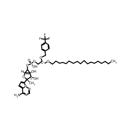 CCCCCCCCCCCCCCCCCCOC[C@H](COP(=O)(O)OC1[C@H]2O[C@@](C)(c3ccc4c(N)ncnn34)[C@H](O)[C@@]12O)OCc1ccc(C(F)(F)F)cc1